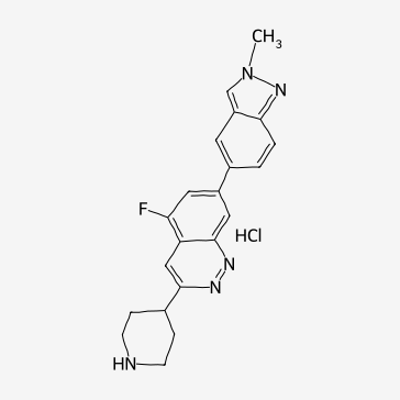 Cl.Cn1cc2cc(-c3cc(F)c4cc(C5CCNCC5)nnc4c3)ccc2n1